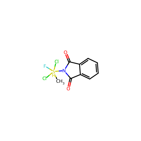 C[SH](F)(Cl)(Cl)N1C(=O)c2ccccc2C1=O